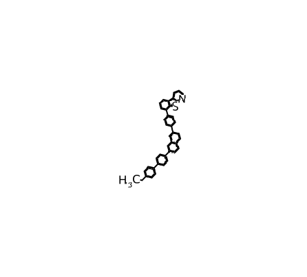 CCc1ccc(-c2ccc(-c3ccc4ccc(-c5ccc(-c6cccc7c6sc6ncccc67)cc5)cc4c3)cc2)cc1